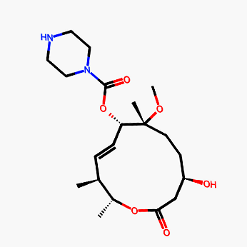 CO[C@]1(C)CC[C@@H](O)CC(=O)O[C@H](C)[C@@H](C)/C=C/[C@@H]1OC(=O)N1CCNCC1